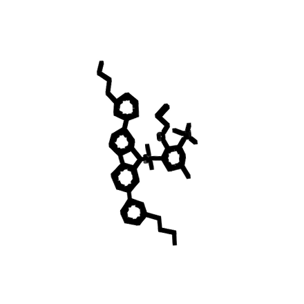 C=CCOc1c([Si](C)(C)C)cc(C)cc1[Si](C)(C)C1c2cc(-c3cccc(CCCC)c3)ccc2-c2ccc(-c3cccc(CCCC)c3)cc21